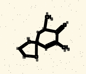 CC1=CC2(CC(C)C1=O)OCCO2